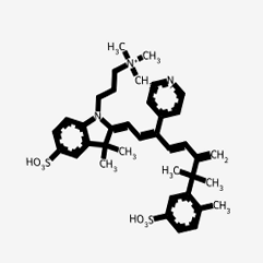 C=C(/C=C/C(=C/C=C1/N(CCC[N+](C)(C)C)c2ccc(S(=O)(=O)O)cc2C1(C)C)c1ccncc1)C(C)(C)c1cc(S(=O)(=O)O)ccc1C